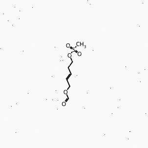 CS(=O)(=O)OCCC=CCOC=O